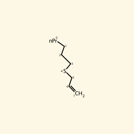 [CH2]CCCCCSCC=C